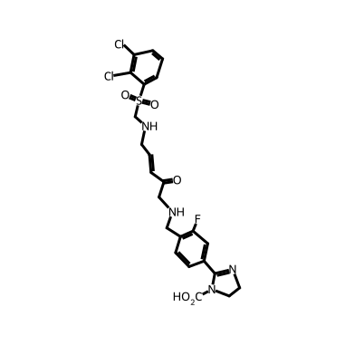 O=C(C=CCNCS(=O)(=O)c1cccc(Cl)c1Cl)CNCc1ccc(C2=NCCN2C(=O)O)cc1F